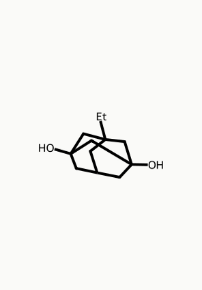 CCC12CC3CC(O)(CC(O)(C3)C1)C2